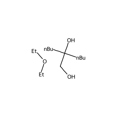 CCCCC(O)(CO)CCCC.CCOCC